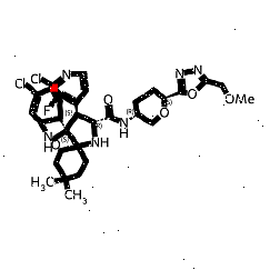 COCc1nnc([C@@H]2CC[C@@H](NC(=O)[C@@H]3NC4(CCC(C)(C)CC4)[C@@]4(C(=O)NC5C=C(Cl)C=CC54)[C@H]3c3ccnc(Cl)c3F)CO2)o1